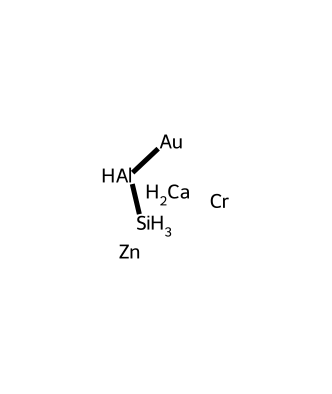 [CaH2].[Cr].[SiH3][AlH][Au].[Zn]